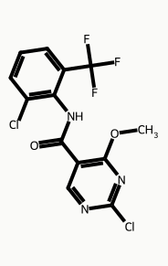 COc1nc(Cl)ncc1C(=O)Nc1c(Cl)cccc1C(F)(F)F